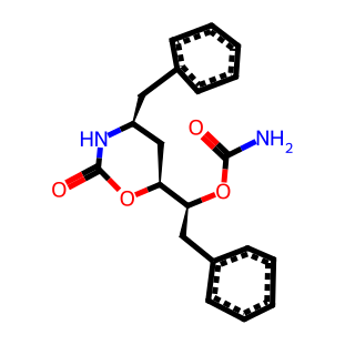 NC(=O)O[C@@H](Cc1ccccc1)[C@@H]1C[C@H](Cc2ccccc2)NC(=O)O1